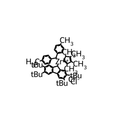 CC1=C(C)C(C)[C]([Zr+2](=[C](c2ccc(C)cc2)c2ccc(C)cc2)[CH]2c3cc(C(C)(C)C)c(C(C)(C)C)cc3-c3cc(C(C)(C)C)c(C(C)(C)C)cc32)=C1C.[Cl-].[Cl-]